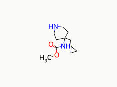 COC(=O)NC1(CC2CC2)CCNCC1